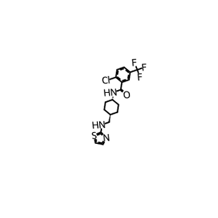 O=C(N[C@H]1CC[C@H](CNc2nccs2)CC1)c1cc(C(F)(F)F)ccc1Cl